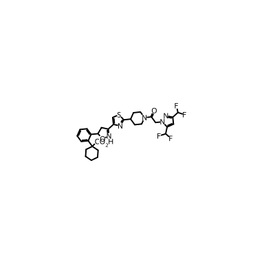 O=C(Cn1nc(C(F)F)cc1C(F)F)N1CCC(c2nc(C3=NOC(c4ccccc4C4(C(=O)O)CCCCC4)C3)cs2)CC1